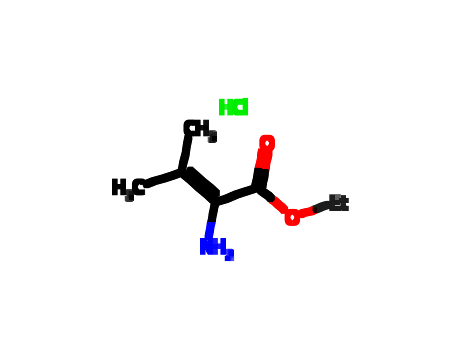 CCOC(=O)C(N)=C(C)C.Cl